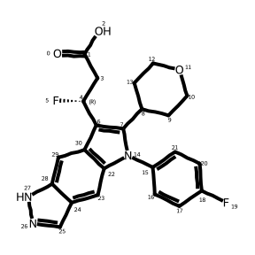 O=C(O)C[C@@H](F)c1c(C2CCOCC2)n(-c2ccc(F)cc2)c2cc3cn[nH]c3cc12